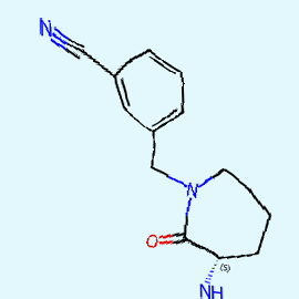 N#Cc1cccc(CN2CCCC[C@H](N)C2=O)c1